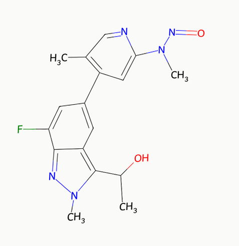 Cc1cnc(N(C)N=O)cc1-c1cc(F)c2nn(C)c(C(C)O)c2c1